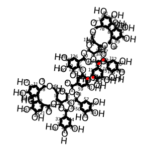 O=C(O[C@@H]1O[C@@H]2COC(=O)c3cc(O)c(O)c(O)c3-c3c(cc(O)c(O)c3O)C(=O)O[C@H]2[C@H](OC(=O)c2cc(O)c(O)c(O)c2)[C@H]1OC(=O)c1cc(O)c(O)c(O)c1)c1cc(O)c(O)c(Oc2c(C(=O)O[C@H]3O[C@@H]4COC(=O)c5cc(O)c(O)c(O)c5-c5c(cc(O)c(O)c5O)C(=O)O[C@H]4[C@H](OC(=O)c4cc(O)c(O)c(O)c4)[C@H]3OC(=O)c3cc(O)c(O)c(O)c3)cc(O)c(O)c2O)c1